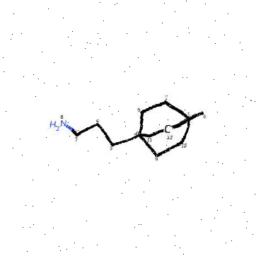 CC12CCC(CCCN)(CC1)CC2